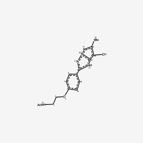 CC(=O)NCCOc1ccc(-c2nn3nc(C(C)(C)C)c(Cl)c3[nH]2)cc1